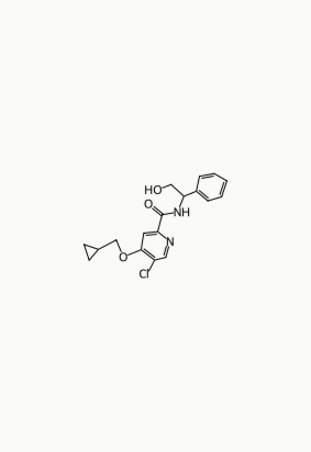 O=C(NC(CO)c1ccccc1)c1cc(OCC2CC2)c(Cl)cn1